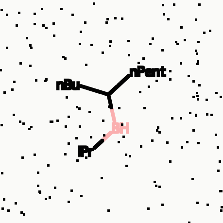 CCCCCC(BC(C)C)CCCC